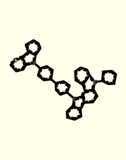 c1ccc(-n2c3ccccc3c3c2ccc2c4ccccc4n(-c4ccc(-c5ccc(-n6c7ccccc7c7ccccc76)cc5)cc4)c23)cc1